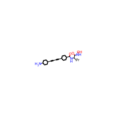 CC(C)C(NC(=O)c1ccc(C#CC#Cc2ccc(N)cc2)cc1)C(=O)NO